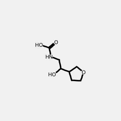 O=C(O)NCC(O)C1CCOC1